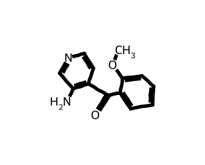 COc1ccccc1C(=O)c1ccncc1N